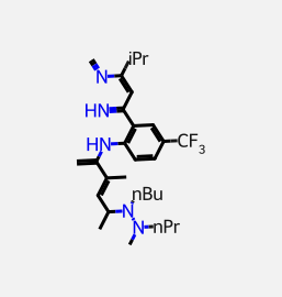 C=N/C(=C\C(=N)c1cc(C(F)(F)F)ccc1NC(=C)/C(C)=C/C(C)N(CCCC)N(C)CCC)C(C)C